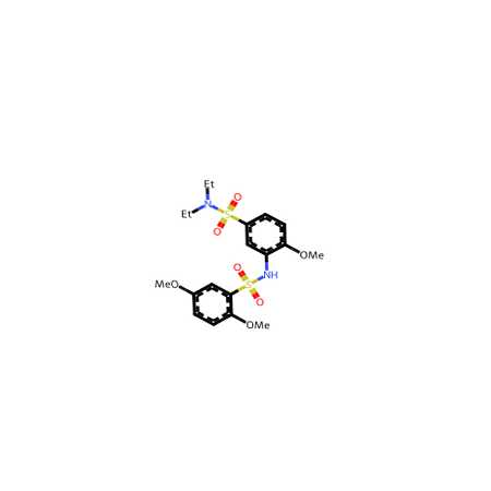 CCN(CC)S(=O)(=O)c1ccc(OC)c(NS(=O)(=O)c2cc(OC)ccc2OC)c1